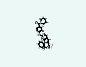 O=C(c1ccc(Nc2ncc3cc4n(c3n2)C2(CCCCC2)C(=O)NN4)cc1)N1CCCCC1